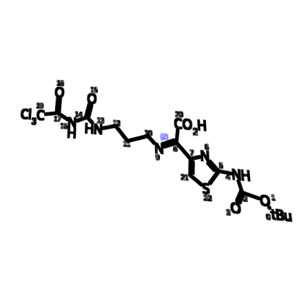 CC(C)(C)OC(=O)Nc1nc(/C(=N/CCCNC(=O)NC(=O)C(Cl)(Cl)Cl)C(=O)O)cs1